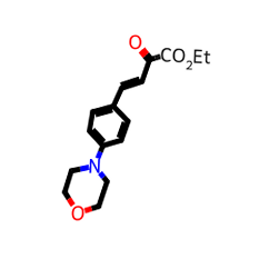 CCOC(=O)C(=O)C=Cc1ccc(N2CCOCC2)cc1